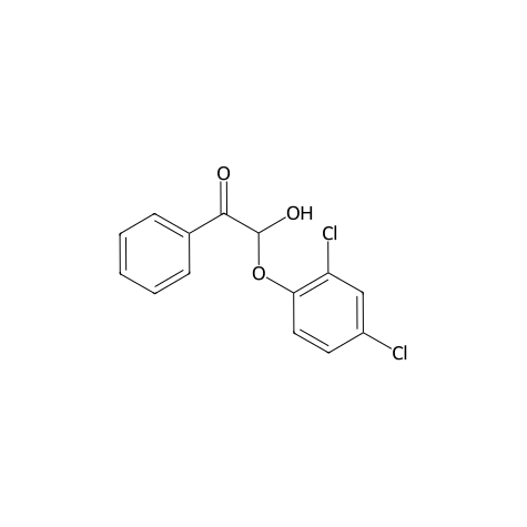 O=C(c1ccccc1)C(O)Oc1ccc(Cl)cc1Cl